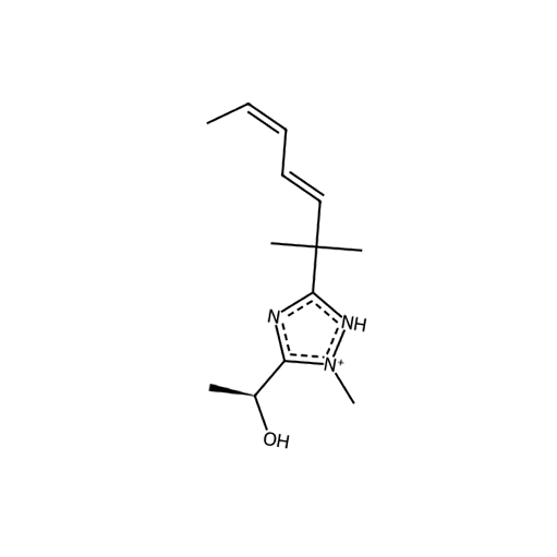 C/C=C\C=CC(C)(C)c1nc([C@H](C)O)[n+](C)[nH]1